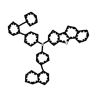 c1ccc(-c2ccccc2-c2ccc(N(c3ccc(-c4cccc5ccccc45)cc3)c3ccc4c(c3)oc3c5ccccc5ccc43)cc2)cc1